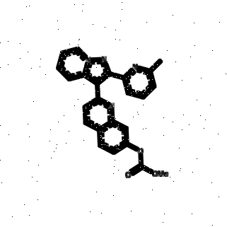 COC(=O)Oc1ccc2ccc(-c3c(-c4cccc(C)n4)nn4ccccc34)nc2c1